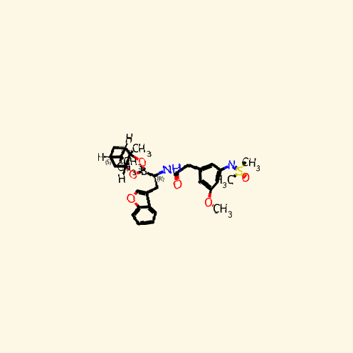 COc1cc(CC(=O)N[C@@H](Cc2coc3ccccc23)B2O[C@@H]3C[C@@H]4C[C@@H](C4(C)C)[C@]3(C)O2)cc(N=S(C)(C)=O)c1